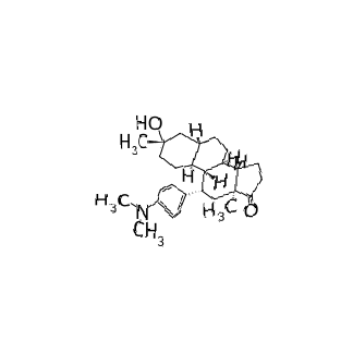 CN(C)c1ccc([C@H]2C[C@]3(C)C(=O)CC[C@H]3[C@@H]3CC[C@H]4C[C@@](C)(O)CC[C@@H]4[C@H]32)cc1